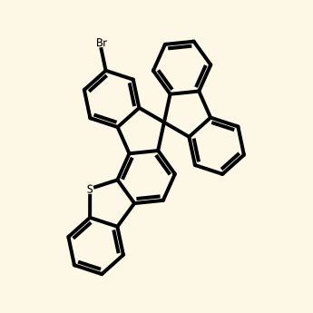 Brc1ccc2c(c1)C1(c3ccccc3-c3ccccc31)c1ccc3c(sc4ccccc43)c1-2